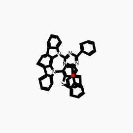 c1ccc(-c2nc(-c3ccccc3)nc(-n3c4ccccc4c4ccc5c6ccccc6n(-c6cccc7c6sc6ccccc67)c5c43)n2)cc1